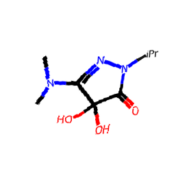 CC(C)N1N=C(N(C)C)C(O)(O)C1=O